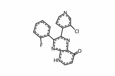 O=c1cc[nH]c2nc(-c3ccccc3F)c(-c3ccncc3Cl)nc12